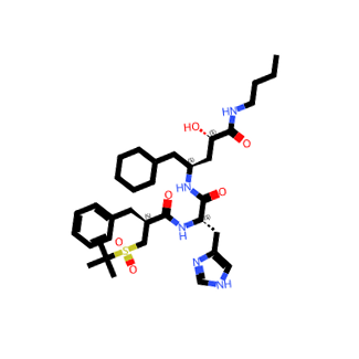 CCCCNC(=O)[C@@H](O)C[C@H](CC1CCCCC1)NC(=O)[C@H](Cc1c[nH]cn1)NC(=O)[C@H](Cc1ccccc1)CS(=O)(=O)C(C)(C)C